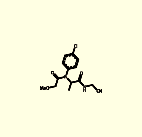 COCC(=O)N(c1ccc(Cl)cc1)C(C)C(=O)NCC#N